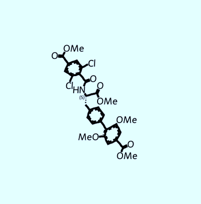 COC(=O)c1cc(Cl)c(C(=O)N[C@@H](Cc2ccc(-c3c(OC)cc(C(=O)OC)cc3OC)cc2)C(=O)OC)c(Cl)c1